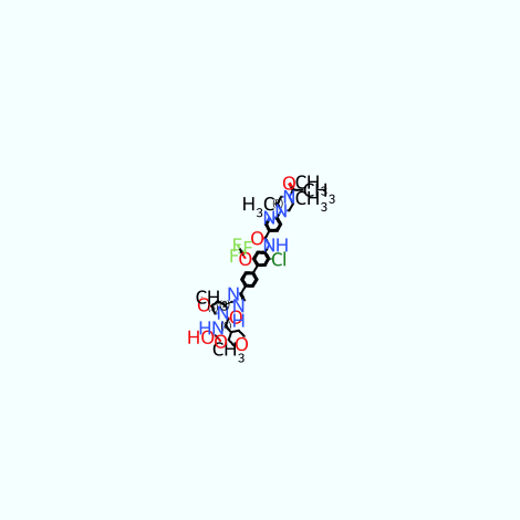 COC(O)N[C@H](C(=O)N1C[C@@H](OC)C[C@H]1c1nc(-c2ccc(-c3cc(Cl)c(NC(=O)c4ccc(N5CCN(C(=O)C(C)(C)C)C[C@H]5C)nc4)cc3OC(F)(F)F)cc2)c[nH]1)C1CCOCC1